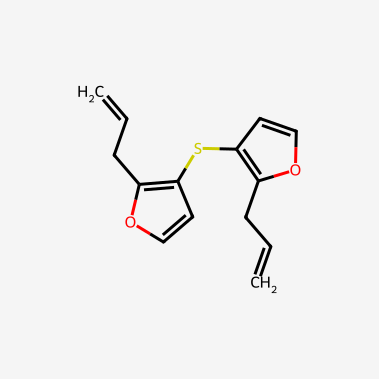 C=CCc1occc1Sc1ccoc1CC=C